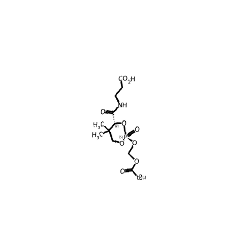 CC(C)(C)C(=O)OCO[P@@]1(=O)OCC(C)(C)[C@H](C(=O)NCCC(=O)O)O1